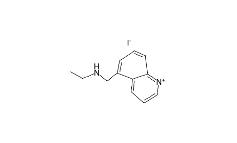 CCNCc1cccc2c1=CC=C[N+]=2.[I-]